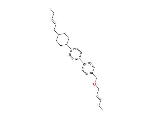 CCC=CCOCc1ccc(-c2ccc(C3CCC(CC=CCC)CC3)cc2)cc1